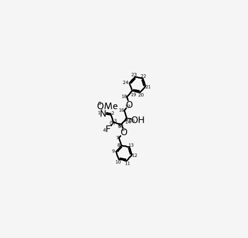 CON=C[C@H](F)[C@H](OCc1ccccc1)[C@H](O)COCc1ccccc1